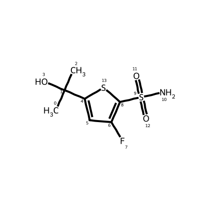 CC(C)(O)c1cc(F)c(S(N)(=O)=O)s1